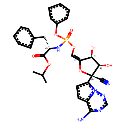 CC(C)OC(=O)[C@H](Cc1ccccc1)NP(=O)(O/C=C1/O[C@@](C#N)(c2ccc3c(N)ncnn23)[C@H](O)[C@@H]1O)Oc1ccccc1